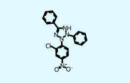 O=[N+]([O-])c1ccc(N2N=C(c3ccccc3)NN2c2ccccc2)c(Cl)c1